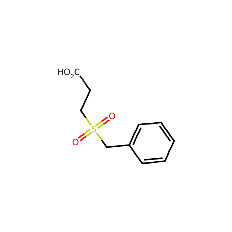 O=C(O)CCS(=O)(=O)Cc1ccccc1